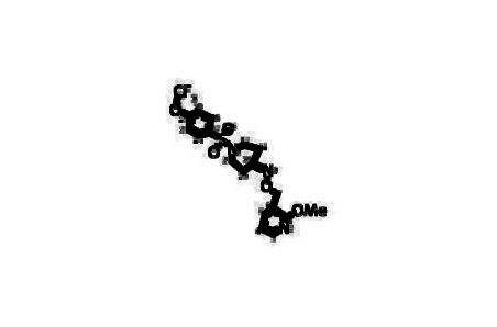 COc1ncccc1CON=C1CCN(S(=O)(=O)c2ccc(OC(F)(F)F)cc2)CC1